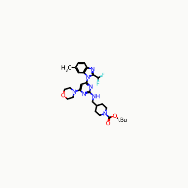 Cc1ccc2nc(C(F)F)n(-c3cc(N4CCOCC4)nc(NCC4CCN(C(=O)OC(C)(C)C)CC4)n3)c2c1